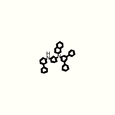 c1ccc(-c2cccc(Nc3cccc(N(c4cc(-c5ccccc5)cc(-c5ccccc5)c4)c4ccc5ccccc5c4)c3)c2)cc1